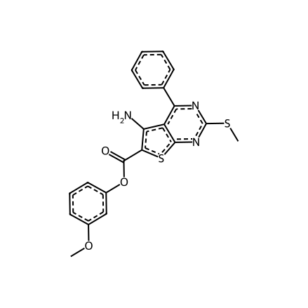 COc1cccc(OC(=O)c2sc3nc(SC)nc(-c4ccccc4)c3c2N)c1